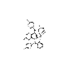 CC1=CC=CC23C(C)=CCc4c2c(c2ccc(C)cc2c4N(c2ccc(C)cc2)c2ccccc2C)N(c2ccc(C)cc2)C13